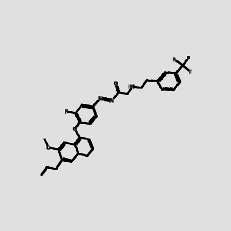 CCCC1=CC2CC=CC(Oc3ccc(N=NC(=O)CNCCc4cccc(C(F)(F)F)c4)cc3F)=C2C=C1OC